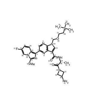 CSc1nc(-c2cnc3c(n2)c(C(=O)N[C@H](C)C(=O)N2CC(N)C2)cn3COCC[Si](C)(C)C)c2ccc(F)cn12